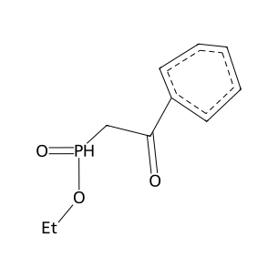 CCO[PH](=O)CC(=O)c1ccccc1